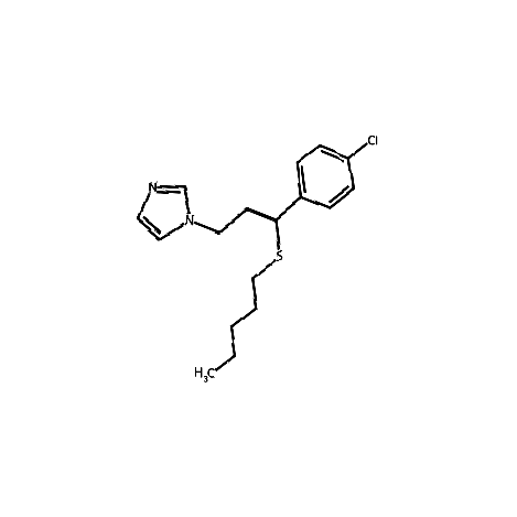 CCCCCSC(CCn1ccnc1)c1ccc(Cl)cc1